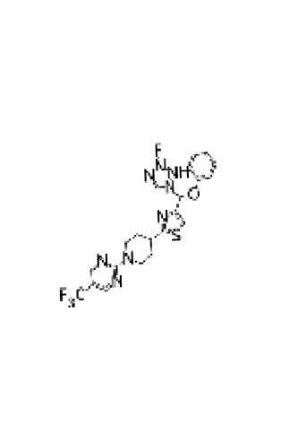 FN1N=CN(C(Oc2ccccc2)c2csc(C3CCN(c4ncc(C(F)(F)F)cn4)CC3)n2)N1